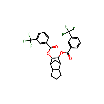 O=C(OC1C2CC(C3CCCC32)C1OC(=O)c1cccc(C(F)(F)F)c1)c1cccc(C(F)(F)F)c1